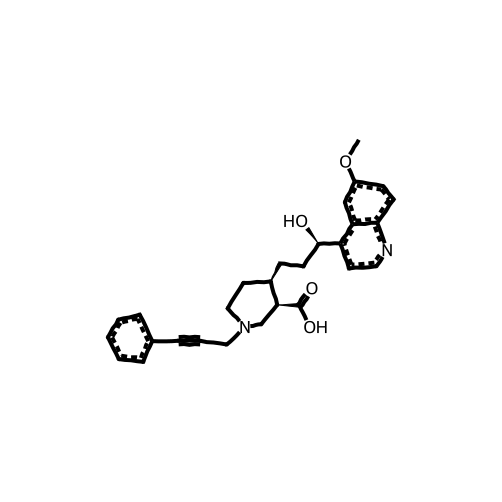 COc1ccc2nccc([C@H](O)CC[C@@H]3CCN(CC#Cc4ccccc4)C[C@@H]3C(=O)O)c2c1